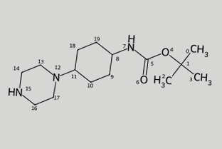 CC(C)(C)OC(=O)NC1CCC(N2CCNCC2)CC1